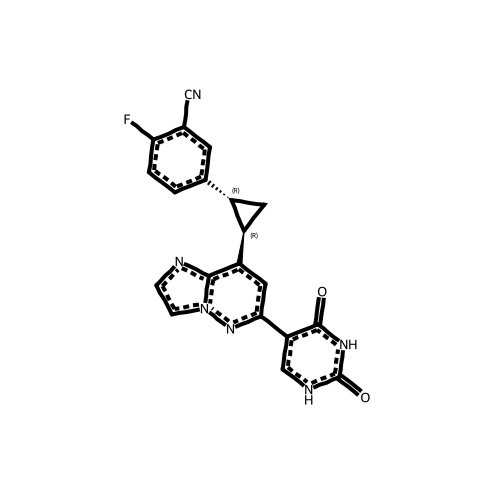 N#Cc1cc([C@@H]2C[C@H]2c2cc(-c3c[nH]c(=O)[nH]c3=O)nn3ccnc23)ccc1F